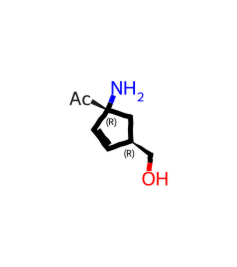 CC(=O)[C@]1(N)C=C[C@H](CO)C1